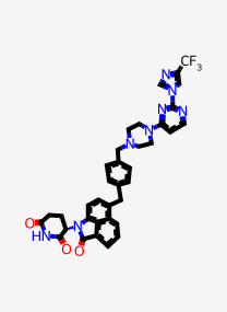 O=C1CC[C@@H](N2C(=O)c3cccc4c(Cc5ccc(CN6CCN(c7ccnc(-n8cnc(C(F)(F)F)c8)n7)CC6)cc5)ccc2c34)C(=O)N1